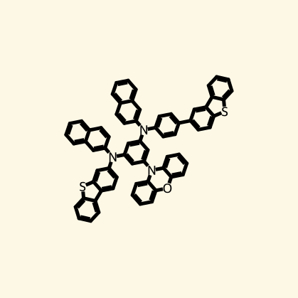 c1ccc2c(c1)Oc1ccccc1N2c1cc(N(c2ccc(-c3ccc4sc5ccccc5c4c3)cc2)c2ccc3ccccc3c2)cc(N(c2ccc3ccccc3c2)c2ccc3c(c2)sc2ccccc23)c1